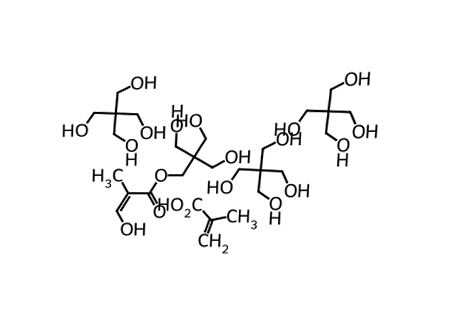 C=C(C)C(=O)O.CC(=CO)C(=O)OCC(CO)(CO)CO.OCC(CO)(CO)CO.OCC(CO)(CO)CO.OCC(CO)(CO)CO